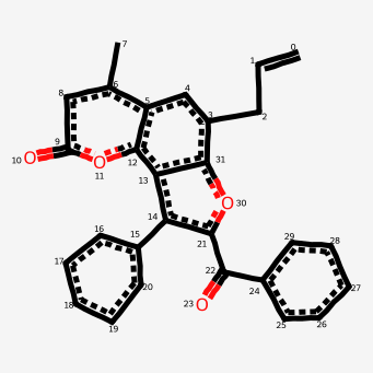 C=CCc1cc2c(C)cc(=O)oc2c2c(-c3ccccc3)c(C(=O)c3ccccc3)oc12